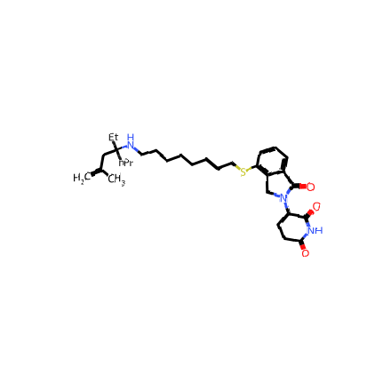 C=C(C)CC(CC)(CCC)NCCCCCCCCSc1cccc2c1CN(C1CCC(=O)NC1=O)C2=O